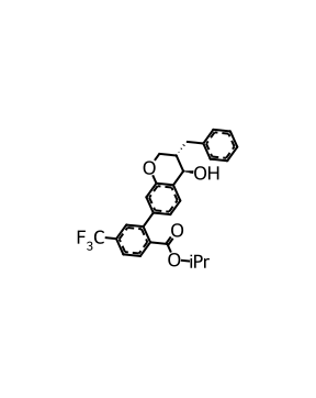 CC(C)OC(=O)c1ccc(C(F)(F)F)cc1-c1ccc2c(c1)OC[C@H](Cc1ccccc1)[C@H]2O